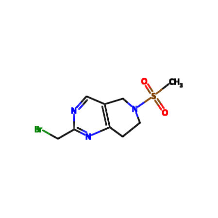 CS(=O)(=O)N1CCc2nc(CBr)ncc2C1